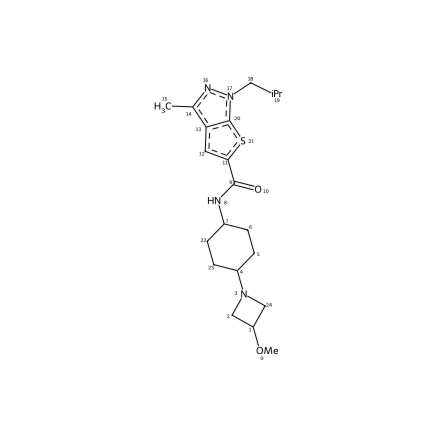 COC1CN(C2CCC(NC(=O)c3cc4c(C)nn(CC(C)C)c4s3)CC2)C1